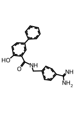 N=C(N)c1ccc(CNC(=O)c2cc(-c3ccccc3)ccc2O)cc1